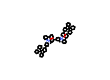 Cc1cc(-c2ccc(N(c3ccc(-c4ccc5c(c4)C(c4ccccc4)(c4ccccc4)c4ccccc4-5)cc3)c3ccccc3-c3ccccc3)c(C)c2)ccc1N(c1ccc(-c2ccc3c(c2)C(c2ccccc2)(c2ccccc2)c2ccccc2-3)cc1)c1ccccc1-c1ccccc1